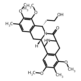 COc1cc2c(c(OC)c1C)CC1NC2[C@@H]2Cc3cc(C)c(OC)c(OC)c3[C@H](CCO)N2C1=O